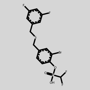 O=P(O)(Oc1ccc(CSCc2cc(F)cc(F)c2)cc1Br)C(F)F